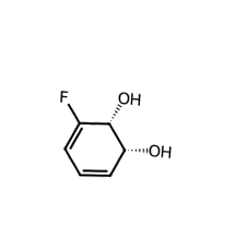 O[C@@H]1C=CC=C(F)[C@@H]1O